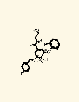 O=C(NCCO)C1=C[C@H](Oc2ccccc2I)[C@@H](O)[C@H](NCC2=CCC(F)C=C2)C1